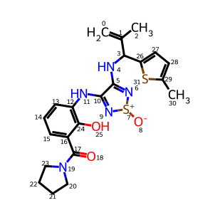 C=C(C)C(Nc1n[s+]([O-])nc1Nc1cccc(C(=O)N2CCCC2)c1O)c1ccc(C)s1